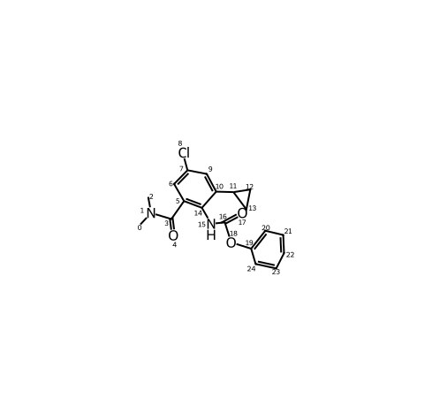 CN(C)C(=O)c1cc(Cl)cc(C2CC2)c1NC(=O)Oc1ccccc1